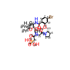 CC(NC(=O)c1ccc(Br)cc1OC[C@@H]1CCCN1C(=O)CN(C)C(=O)CP(=O)(O)O)[C@H](O)O[Si](C(C)C)(C(C)C)C(C)C